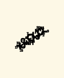 Cc1cc(OC2CCCC(NC(=O)OC(C)(C)C)C2)ncn1